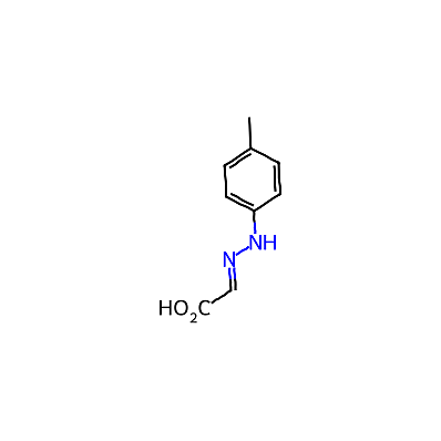 Cc1ccc(NN=CC(=O)O)cc1